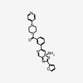 N[N+]12C=C(c3cccc(C(=O)N4CCN(c5ccncc5)CC4)c3)N=CC1=NC(c1ccco1)=N2